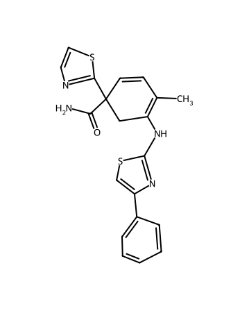 CC1=C(Nc2nc(-c3ccccc3)cs2)CC(C(N)=O)(c2nccs2)C=C1